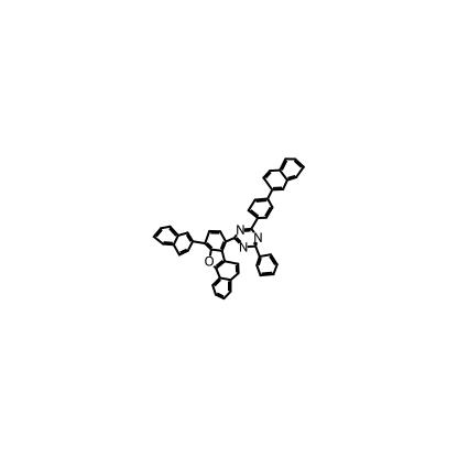 c1ccc(-c2nc(-c3ccc(-c4ccc5ccccc5c4)cc3)nc(-c3ccc(-c4ccc5ccccc5c4)c4oc5c6ccccc6ccc5c34)n2)cc1